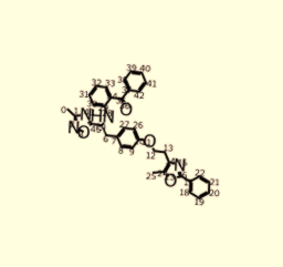 Cc1noc([C@H](Cc2ccc(OCCc3nc(-c4ccccc4)oc3C)cc2)Nc2ccccc2C(=O)c2ccccc2)n1